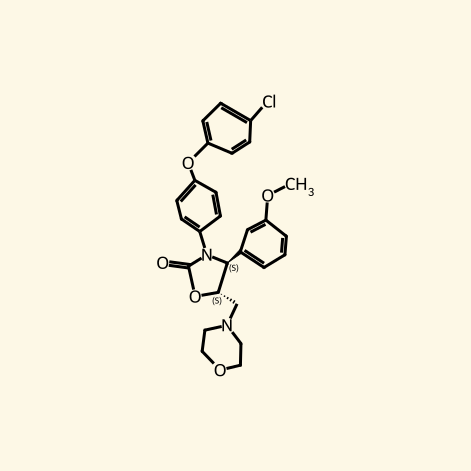 COc1cccc([C@H]2[C@H](CN3CCOCC3)OC(=O)N2c2ccc(Oc3ccc(Cl)cc3)cc2)c1